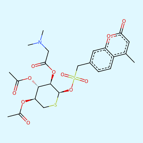 CC(=O)O[C@@H]1[C@@H](OC(=O)CN(C)C)[C@@H](OS(=O)(=O)Cc2ccc3c(C)cc(=O)oc3c2)SC[C@H]1OC(C)=O